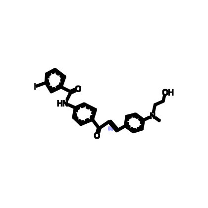 CN(CCO)c1ccc(/C=C/C(=O)c2ccc(NC(=O)c3cccc(I)c3)cc2)cc1